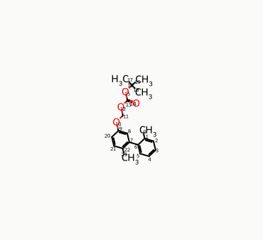 Cc1ccccc1-c1cc(OCOC(=O)OC(C)(C)C)ccc1C